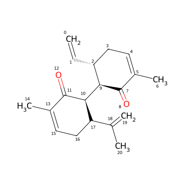 C=C[C@@H]1CC=C(C)C(=O)[C@H]1[C@@H]1C(=O)C(C)=CCC1C(=C)C